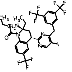 CCOC(=O)N1c2ccc(C(F)(F)F)cc2[C@@H](c2ncc(I)c(Cc3cc(C(F)(F)F)cc(C(F)(F)F)c3)n2)C[C@@]1(N)CC